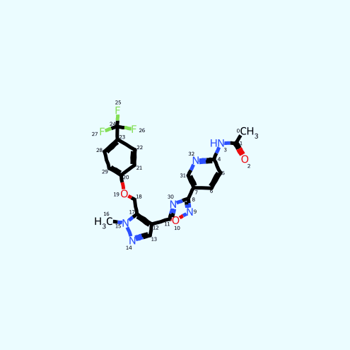 CC(=O)Nc1ccc(-c2noc(-c3cnn(C)c3COc3ccc(C(F)(F)F)cc3)n2)cn1